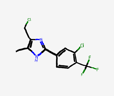 Cc1[nH]c(-c2ccc(C(F)(F)F)c(Cl)c2)nc1CCl